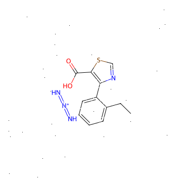 CCc1ccccc1-c1ncsc1C(=O)O.N=[N+]=N